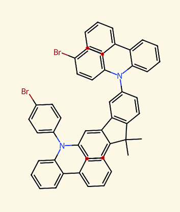 CC1(C)c2ccc(N(c3ccc(Br)cc3)c3ccccc3-c3ccccc3)cc2-c2cc(N(c3ccc(Br)cc3)c3ccccc3-c3ccccc3)ccc21